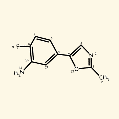 Cc1ncc(-c2ccc(F)c(N)c2)o1